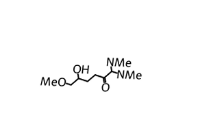 CNC(NC)C(=O)CCC(O)COC